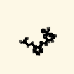 CN(C)CCn1nnnc1SCC(C=S)OS(C)(=O)=O